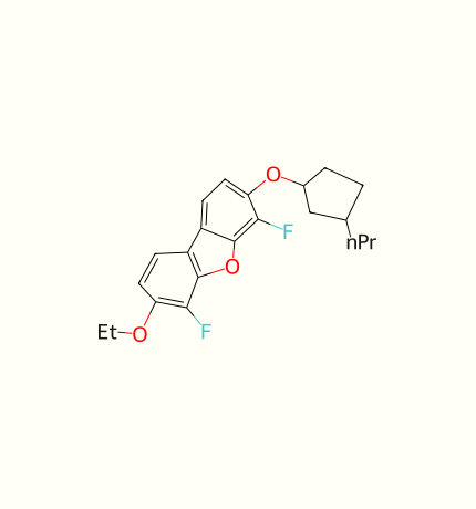 CCCC1CCC(Oc2ccc3c(oc4c(F)c(OCC)ccc43)c2F)C1